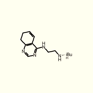 CC[C@@H](C)NCCNc1ncnc2c1C=CCC2